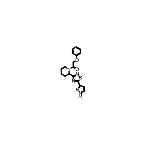 O=C(COc1ccccc1)N1CCCCC1c1noc(-c2cc[nH]n2)n1